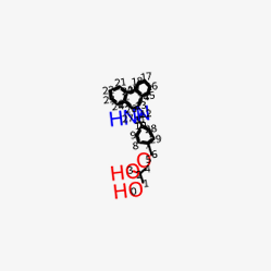 OCC(O)COCc1ccc(-c2nc3c4ccccc4c4ccccc4c3[nH]2)cc1